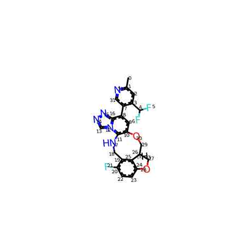 Cc1cc(C(F)F)c(-c2cc3c(n4cnnc24)NCc2c(F)ccc4c2[C@@H](CO4)CO3)cn1